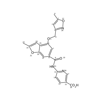 Cc1cc(COc2cc(C(=O)Nc3ccc(C(=O)O)cn3)cc3oc(C)cc23)no1